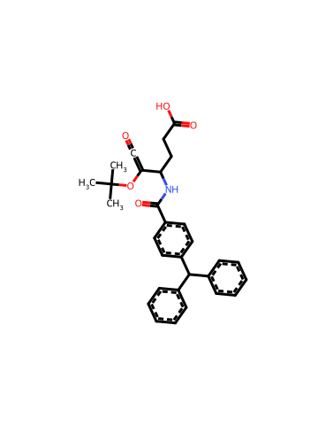 CC(C)(C)OC(=C=O)C(CCC(=O)O)NC(=O)c1ccc(C(c2ccccc2)c2ccccc2)cc1